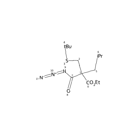 CCOC(=O)C(CSC(C)(C)C)(CC(C)C)C(=O)N=[N+]=[N-]